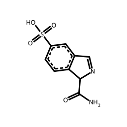 NC(=O)C1N=Cc2cc(S(=O)(=O)O)ccc21